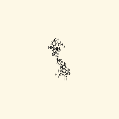 CCc1cc(Nc2cc(=O)n(CCCCN3CCN(c4nc5[nH]c(CC)c(C(=O)O)c(=O)c5cc4F)CC3)c(=O)[nH]2)ccc1C